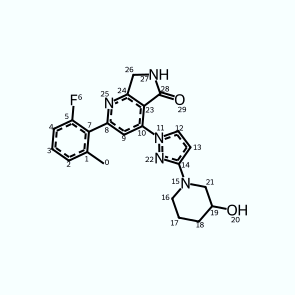 Cc1cccc(F)c1-c1cc(-n2ccc(N3CCCC(O)C3)n2)c2c(n1)CNC2=O